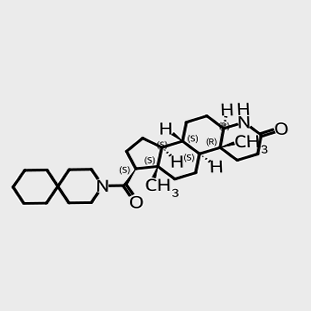 C[C@]12CCC(=O)N[C@@H]1CC[C@@H]1[C@@H]2CC[C@]2(C)[C@@H](C(=O)N3CCC4(CCCCC4)CC3)CC[C@@H]12